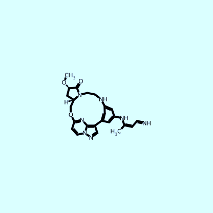 CO[C@@H]1C[C@H]2COc3ccn4ncc(c4n3)-c3cc(cc(N/C(C)=C\C=N)c3)NCCN2C1=O